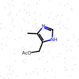 CC(=O)OCc1[nH]cnc1C